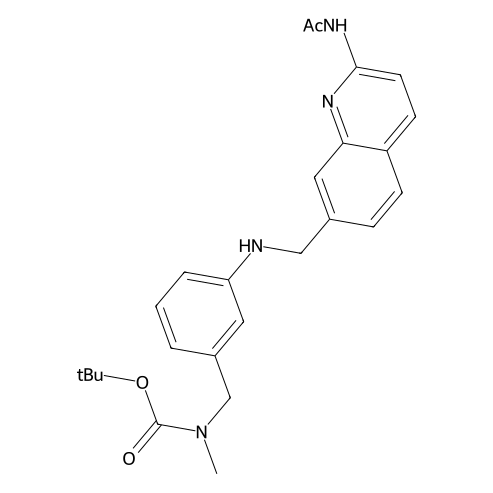 CC(=O)Nc1ccc2ccc(CNc3cccc(CN(C)C(=O)OC(C)(C)C)c3)cc2n1